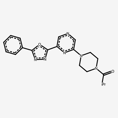 CC(C)C(=O)N1CCN(c2cncc(-c3nnc(-c4ccccc4)o3)n2)CC1